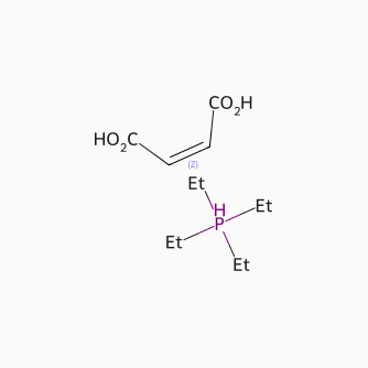 CC[PH](CC)(CC)CC.O=C(O)/C=C\C(=O)O